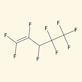 FC(F)=C(F)C(F)C(F)(F)C(F)(F)F